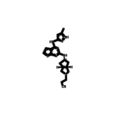 Cc1cc(Nc2nc(N[C@@H]3C[C@@H]4CN(CCC#N)C[C@@H]4C3)nc3sccc23)n[nH]1